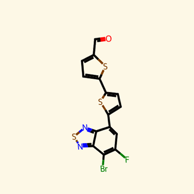 O=Cc1ccc(-c2ccc(-c3cc(F)c(Br)c4nsnc34)s2)s1